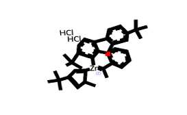 C/[C](c1ccccc1)=[Zr](\[C]1=CC(C(C)(C)C)=CC1C)[c]1c(C(C)(C)C)ccc2c1Cc1cc(C(C)(C)C)ccc1-2.Cl.Cl